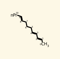 CC=CC=CCCCC=CCCC